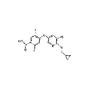 O=C(O)c1cc(F)c(Oc2cnc(OCC3CC3)c(Cl)c2)cc1F